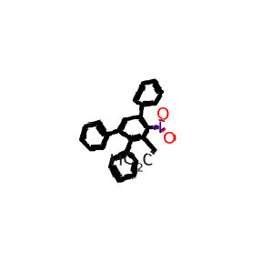 O=C(O)Cc1c(-c2ccccc2)c(-c2ccccc2)cc(-c2ccccc2)c1I(=O)=O